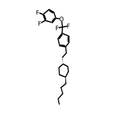 CCCCC[C@H]1CC[C@H](CCc2ccc(C(F)(F)Oc3ccc(F)c(F)c3)cc2)CC1